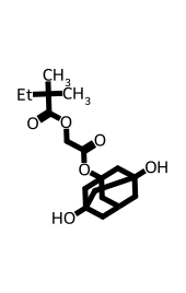 CCC(C)(C)C(=O)OCC(=O)OC12CC3CC(O)(CC(O)(C3)C1)C2